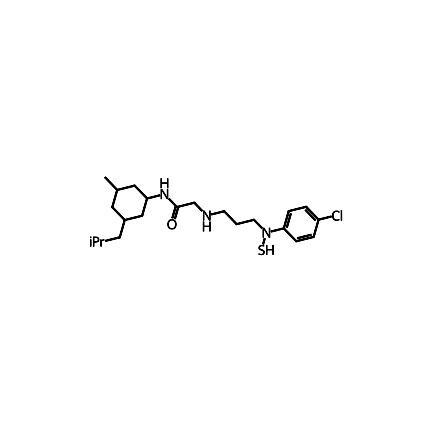 CC(C)CC1CC(C)CC(NC(=O)CNCCCN(S)c2ccc(Cl)cc2)C1